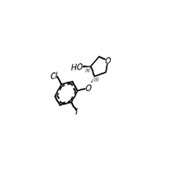 O[C@H]1COC[C@@H]1Oc1cc(Cl)ccc1I